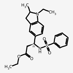 CCOC(=O)C[C@H](NS(=O)(=O)c1ccccc1)c1ccc2c(c1)CC(C)N2CC